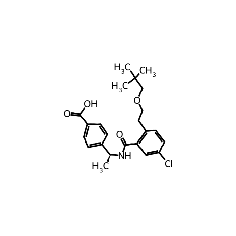 C[C@H](NC(=O)c1cc(Cl)ccc1CCOCC(C)(C)C)c1ccc(C(=O)O)cc1